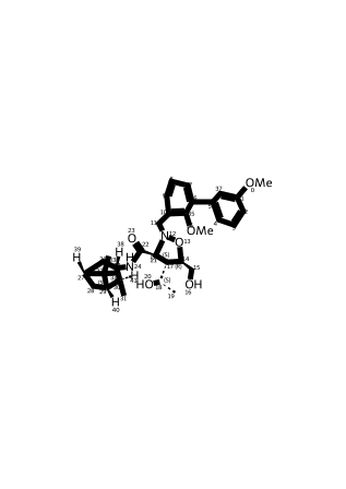 COc1cccc(-c2cccc(CN3O[C@@H](CO)[C@H]([C@H](C)O)[C@H]3C(=O)N[C@H]3C[C@H]4C[C@@H]([C@@H]3C)C4(C)C)c2OC)c1